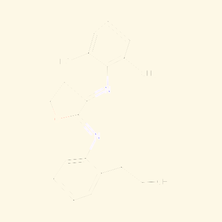 CCCc1ccccc1N=C1OCCC1=Nc1c(C)cccc1C